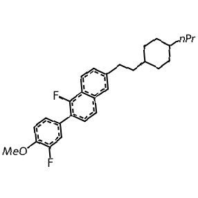 CCCC1CCC(CCc2ccc3c(F)c(-c4ccc(OC)c(F)c4)ccc3c2)CC1